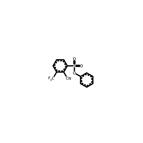 N#Cc1c(C(F)(F)F)cccc1S(=O)(=O)Oc1ccccc1